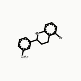 COc1cccc(C2CCc3c(Br)cccc3N2)c1